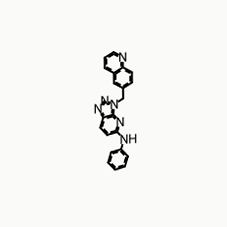 c1ccc(Nc2ccc3nnn(Cc4ccc5ncccc5c4)c3n2)cc1